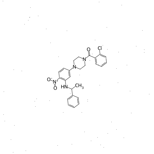 CC(Nc1cc(N2CCN(C(=O)c3ccccc3Cl)CC2)ccc1[N+](=O)[O-])c1ccccc1